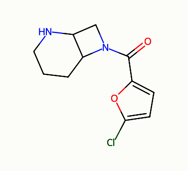 O=C(c1ccc(Cl)o1)N1CC2NCCCC21